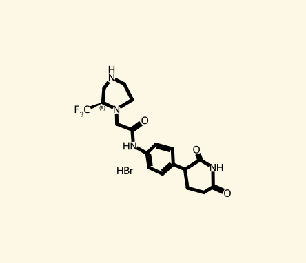 Br.O=C1CCC(c2ccc(NC(=O)CN3CCNC[C@@H]3C(F)(F)F)cc2)C(=O)N1